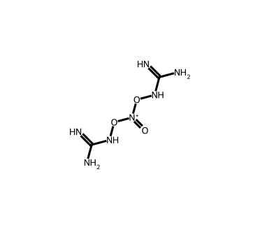 N=C(N)NO[N+](=O)ONC(=N)N